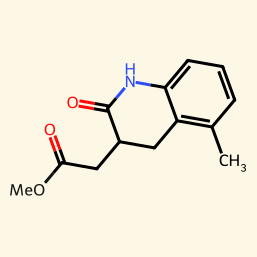 COC(=O)CC1Cc2c(C)cccc2NC1=O